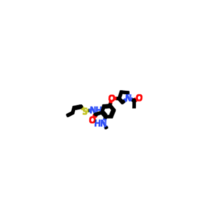 CC/C=C\SNC(=O)c1cc(OC2CCN(C(C)=O)C2)ccc1NC